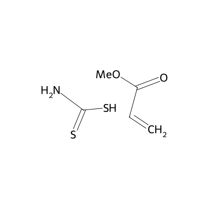 C=CC(=O)OC.NC(=S)S